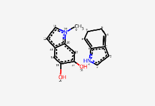 C1=c2cc[nH]c2=CCC1.Cn1ccc2cc(O)c(O)cc21